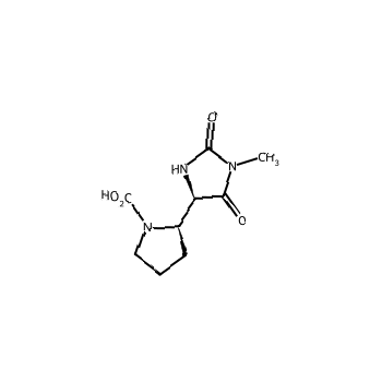 CN1C(=O)N[C@H]([C@H]2CCCN2C(=O)O)C1=O